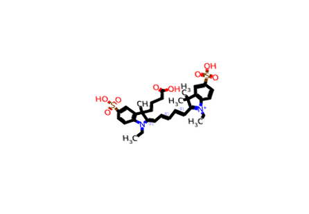 CCN1/C(=C/C=C/C=C/C2=[N+](CC)c3ccc(S(=O)(=O)O)cc3C2(C)C)C(C)(CCCC(=O)O)c2cc(S(=O)(=O)O)ccc21